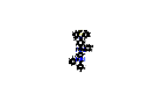 c1ccc(-c2nc3cc4c(cc3n2-c2ccccc2)nc(-c2ccc(N3c5ccccc5Sc5ccccc53)cc2)n4-c2ccccc2)cc1